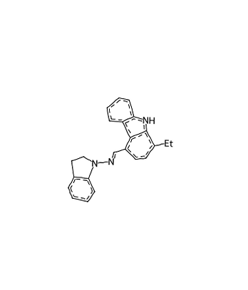 CCc1ccc(C=NN2CCc3ccccc32)c2c1[nH]c1ccccc12